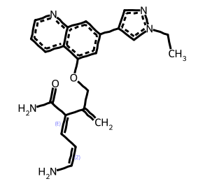 C=C(COc1cc(-c2cnn(CC)c2)cc2ncccc12)/C(=C\C=C/N)C(N)=O